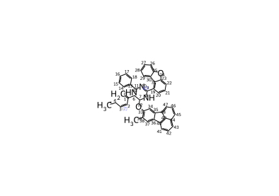 C=C(/C=C\CC)CC(N/C(=N\C(=N)c1ccccc1)c1cccc2oc3ccccc3c12)Oc1cc2c(cc1C)-c1cccc3cccc-2c13